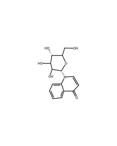 O=c1ccn([C@H]2OC(CO)[C@@H](O)C(O)C2O)c2ccccc12